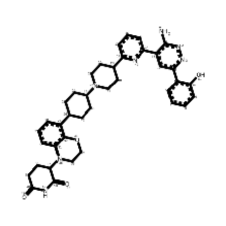 Nc1nnc(-c2ccccc2O)cc1-c1cccc(C2CCN(C3CCC(c4cccc5c4OCCN5C4CCC(=O)NC4=O)CC3)CC2)n1